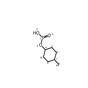 O=S(O)OC1CCC(F)CC1